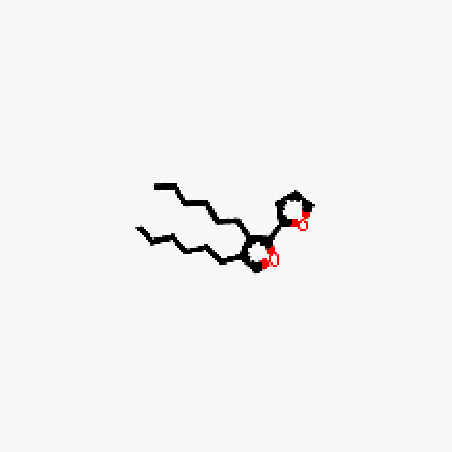 CCCCCCc1coc(-c2ccco2)c1CCCCCC